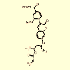 C=CC(=O)OC(C)CC(=C)Oc1ccc2cc(-c3ccc(C(CC)CCCCC)cc3OC)c(=O)oc2c1